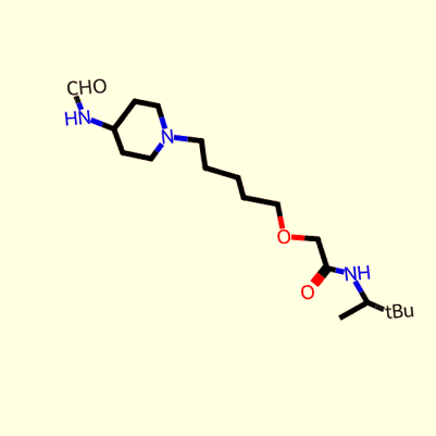 CC(NC(=O)COCCCCCN1CCC(NC=O)CC1)C(C)(C)C